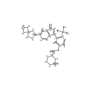 FC(F)(F)c1cnc(CNC2CCCNC2)nc1-c1c[nH]c2nc(N3CCC4(COC4)C3)ccc12